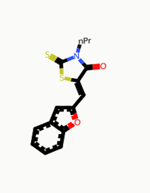 CCCN1C(=O)/C(=C/c2cc3ccccc3o2)SC1=S